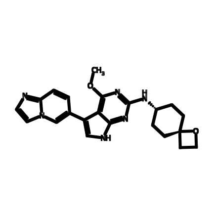 COc1nc(N[C@H]2CC[C@@]3(CCO3)CC2)nc2[nH]cc(-c3ccc4nccn4c3)c12